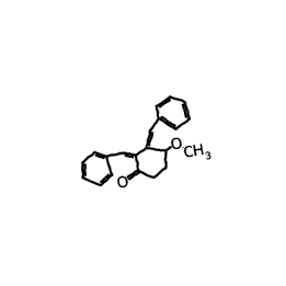 COC1CCC(=O)C(=Cc2ccccc2)C1=Cc1ccccc1